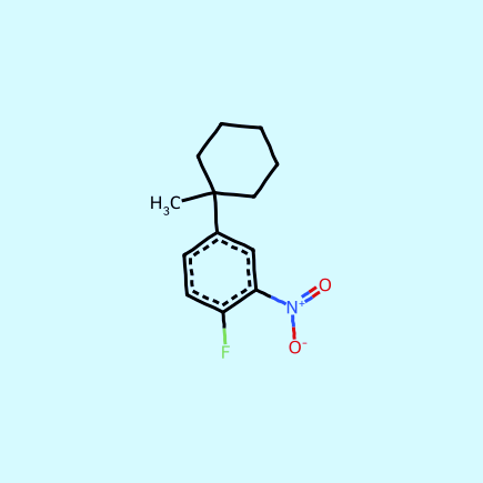 CC1(c2ccc(F)c([N+](=O)[O-])c2)CCCCC1